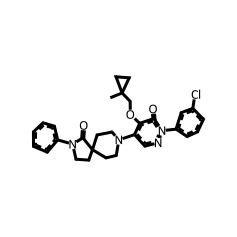 CC1(COc2c(N3CCC4(CC3)CCN(c3ccccc3)C4=O)cnn(-c3cccc(Cl)c3)c2=O)CC1